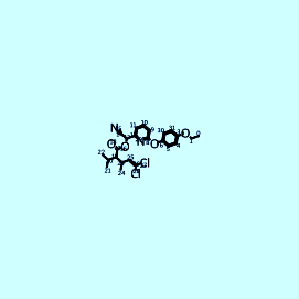 CCOc1ccc(Oc2cccc(C(C#N)OC(=O)C(C(C)C)C(C)C=C(Cl)Cl)n2)cc1